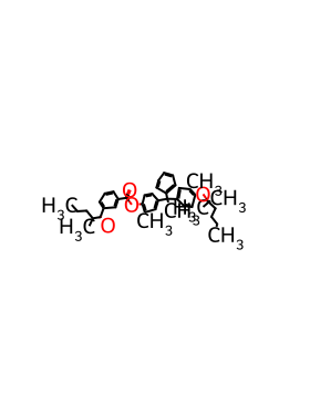 CCCCC(C)(C)Oc1ccc(C(C)(c2ccccc2)c2ccc(OC(=O)c3cccc(C(=O)C(C)CCC)c3)c(C)c2)cc1C